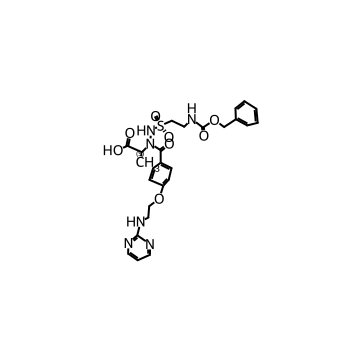 C[C@@H](C(=O)O)N(NS(=O)(=O)CCNC(=O)OCc1ccccc1)C(=O)c1ccc(OCCNc2ncccn2)cc1